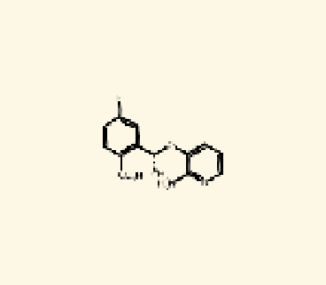 C[C@@H](Oc1cccnc1N)c1cc(F)ccc1C(=O)O